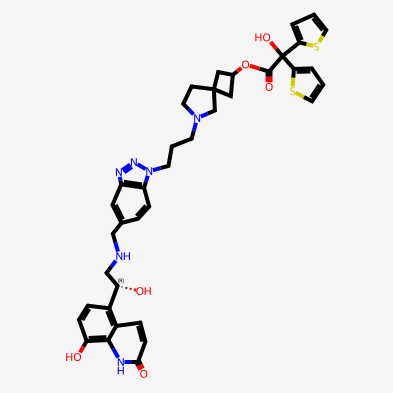 O=C(OC1CC2(CCN(CCCn3nnc4cc(CNC[C@H](O)c5ccc(O)c6[nH]c(=O)ccc56)ccc43)C2)C1)C(O)(c1cccs1)c1cccs1